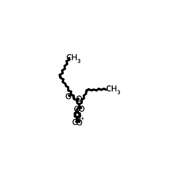 CCCCCCCC/C=C\CCCCCCCC(=O)C=CC(=O)CC(CCCCC/C=C\CCCCCCCC)C(=O)Oc1ccc([N+](=O)[O-])cc1